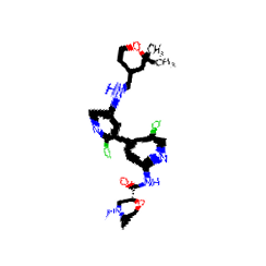 CC1(C)CC(CNc2cnc(Cl)c(-c3cc(NC(=O)[C@H]4CNCCO4)ncc3Cl)c2)CCO1